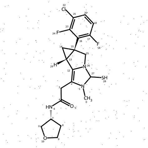 CN1C(CC(=O)N[C@@H]2CCOC2)=C2[C@@H]3C[C@]3(c3c(F)ccc(Cl)c3F)CN2C1S